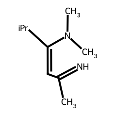 CC(=N)/C=C(/C(C)C)N(C)C